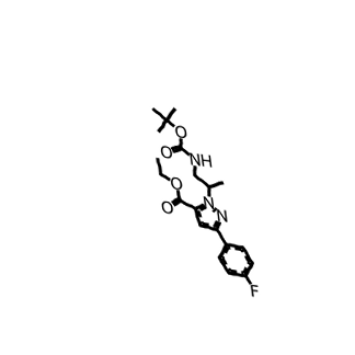 CCOC(=O)c1cc(-c2ccc(F)cc2)nn1C(C)CNC(=O)OC(C)(C)C